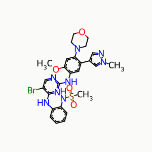 COc1cc(N2CCOCC2)c(-c2cnn(C)c2)cc1Nc1ncc(Br)c(Nc2ccccc2NS(C)(=O)=O)n1